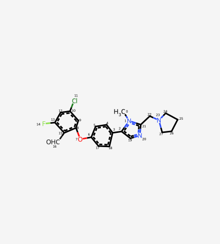 Cn1c(-c2ccc(Oc3cc(Cl)cc(F)c3C=O)cc2)cnc1CN1CCCC1